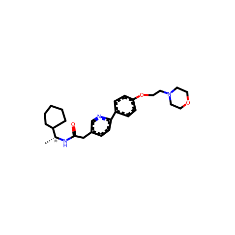 C[C@@H](NC(=O)Cc1ccc(-c2ccc(OCCN3CCOCC3)cc2)nc1)C1CCCCC1